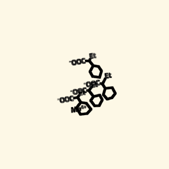 CCC(C(=O)[O-])C1CCCCC1.CCC(C(=O)[O-])C1CCCCC1.CCC(C(=O)[O-])C1CCCCC1.CCC(C(=O)[O-])C1CCCCC1.[Mo+4]